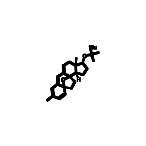 CC1=CC2=CC3=CC[C@]4(C)[C@@H](O[Si](C)(C)C(C)(C)C)CC[C@H]4[C@@]34CC[C@]2(C=C1)O4